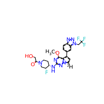 [2H]c1cc(-c2ccc3nnn(CC(F)(F)F)c3c2)c2c(OC)nc(N[C@H]3CCN(C(=O)CO)C[C@H]3F)nn12